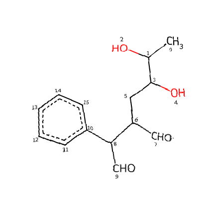 CC(O)C(O)CC([C]=O)C(C=O)c1ccccc1